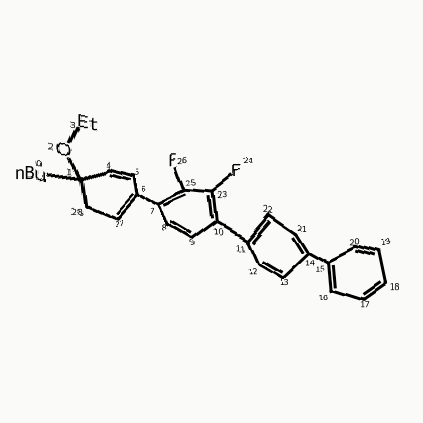 CCCCC1(OCC)C=CC(c2ccc(-c3ccc(-c4ccccc4)cc3)c(F)c2F)=CC1